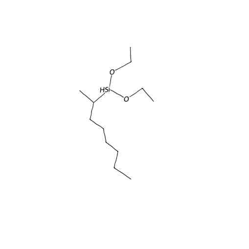 CCCCCCC(C)[SiH](OCC)OCC